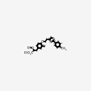 CCOC(=O)C(Cc1ccc(OCCc2csc(-c3ccc(C)cc3)n2)c(F)c1)OCC